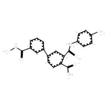 CNC(=O)c1cccc(-c2ccc(C(=O)O)c(C(=O)Nc3ccc(C)cc3)c2)c1